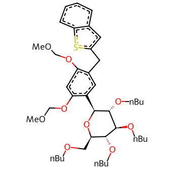 CCCCOC[C@H]1O[C@@H](c2cc(Cc3cc4ccccc4s3)c(OCOC)cc2OCOC)[C@H](OCCCC)[C@@H](OCCCC)[C@@H]1OCCCC